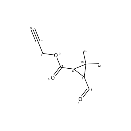 C#CCOC(=O)C1C(C=O)C1(C)C